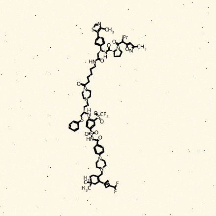 Cc1cc(C(C(=O)N2CCC[C@H]2C(=O)N[C@@H](CC(=O)NCCCCCC(=O)N2CCN(CC[C@H](CSc3ccccc3)Nc3ccc(S(=O)(=O)NC(=O)c4ccc(N5CCN(CC6=C(C78CC(C(F)F)(C7)C8)CC(C)(C)CC6)CC5)cc4)cc3S(=O)(=O)C(F)(F)F)CC2)c2ccc(-c3scnc3C)cc2)C(C)C)on1